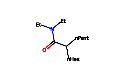 CCCCCCC(CCCCC)C(=O)N(CC)CC